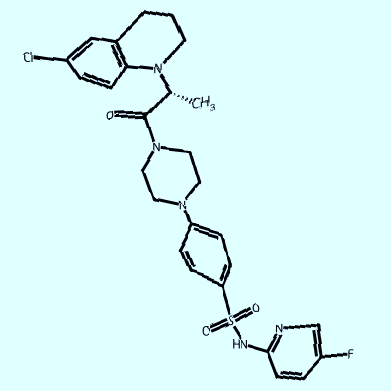 C[C@H](C(=O)N1CCN(c2ccc(S(=O)(=O)Nc3ccc(F)cn3)cc2)CC1)N1CCCc2cc(Cl)ccc21